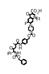 CCn1cc(C(=O)O)c(=O)c2cc(F)c(N3CCN(C(=O)OCc4ccc(NC(=O)[C@H](C)CC(=O)[C@H](NC(=O)OCc5ccccc5)C(C)C)cc4)CC3)cc21